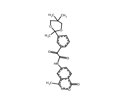 Cc1noc(=O)c2ccc(NC(=O)C(=O)c3cccc(C4(C)OCC(C)(C)CO4)c3)cc12